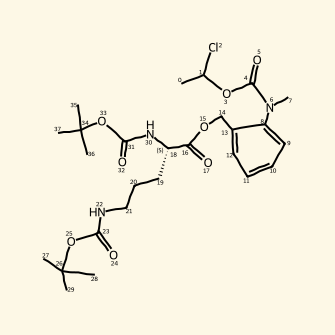 CC(Cl)OC(=O)N(C)c1ccccc1COC(=O)[C@H](CCCNC(=O)OC(C)(C)C)NC(=O)OC(C)(C)C